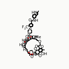 CO[C@H]1/C=C/O[C@@]2(C)Oc3c(C)c(O)c4c(c3C2=O)C(=O)C(N2CCOCC2)=C(NC(=O)/C(C)=C\C=C\[C@H](C)[C@H](O)[C@@H](C)[C@@H](O)[C@@H](C)[C@H](OC(=O)N2CCN(c3ccc(C(=O)Nc5ccc6[nH]c(C)cc6c5)cc3C(F)(F)F)CC2)[C@@H]1C)C4=O